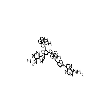 Nc1ncnc2c1ncn2[C@H]1CC[C@@H](CNS(=O)(=O)O[C@H]2C[C@H](n3cnc4c(N)ncnc43)O[C@@H]2COP(=O)(O)O)O1